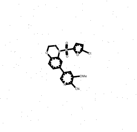 CCc1ccc(S(=O)(=O)N2CCOc3ccc(-c4cnc(C#N)c(OC)c4)cc32)o1